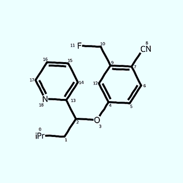 CC(C)CC(Oc1ccc(C#N)c(CF)c1)c1ccccn1